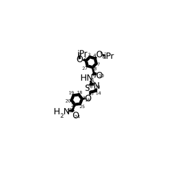 CC(C)Oc1cc(OC(C)C)cc(C(=O)Nc2ncc(Oc3cccc(C(N)=O)c3)s2)c1